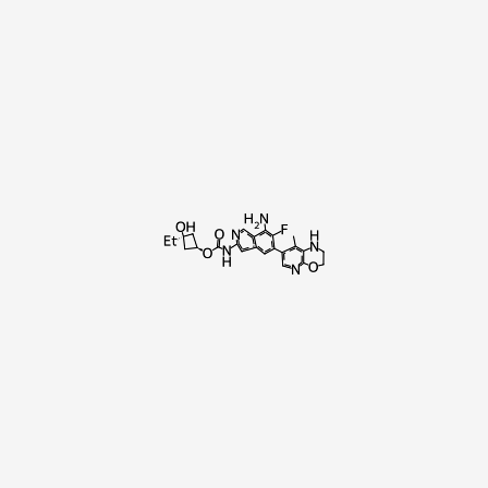 CC[C@]1(O)C[C@@H](OC(=O)Nc2cc3cc(-c4cnc5c(c4C)NCCO5)c(F)c(N)c3cn2)C1